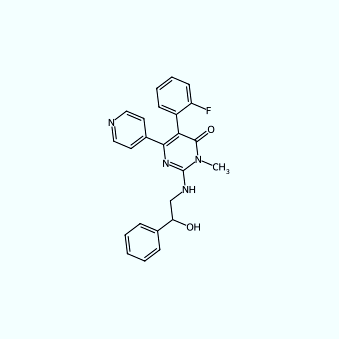 Cn1c(NCC(O)c2ccccc2)nc(-c2ccncc2)c(-c2ccccc2F)c1=O